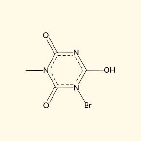 Cn1c(=O)nc(O)n(Br)c1=O